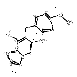 COc1ccc(Cc2c(N)nn3ccnc3c2N)cc1